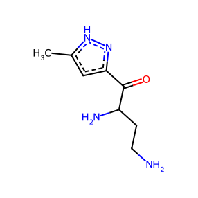 Cc1cc(C(=O)C(N)CCN)n[nH]1